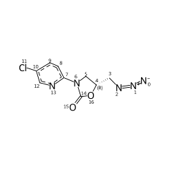 [N-]=[N+]=NC[C@H]1CN(c2ccc(Cl)cn2)C(=O)O1